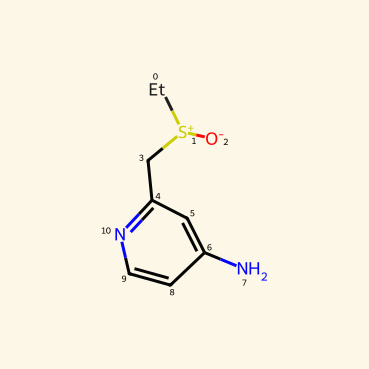 CC[S+]([O-])Cc1cc(N)ccn1